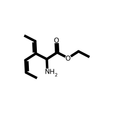 C/C=C\C(=C/C)C(N)C(=O)OCC